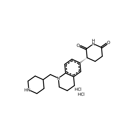 Cl.Cl.O=C1CC[C@H](c2ccc3c(c2)CCCN3CC2CCNCC2)C(=O)N1